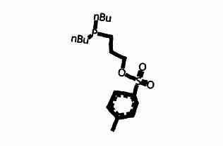 CCCCP(CCCC)CCCOS(=O)(=O)c1ccc(C)cc1